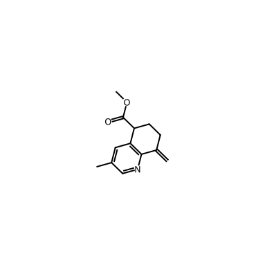 C=C1CCC(C(=O)OC)c2cc(C)cnc21